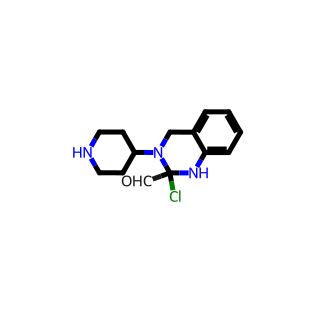 O=CC1(Cl)Nc2ccccc2CN1C1CCNCC1